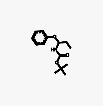 C[CH]C(NC(=O)OC(C)(C)C)Oc1ccccc1